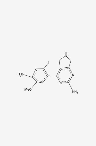 Bc1cc(I)c(-c2nc(N)nc3c2CNC3)cc1OC